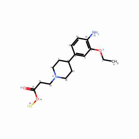 CCOc1cc(C2CCN(CCC(=O)OS)CC2)ccc1N